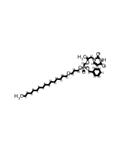 CCCCCCCCCCCCCCCCOCCCOP(=O)(COC(C)Cn1ccc(=O)[nH]c1=O)OCc1ccccc1